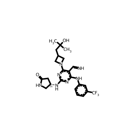 CC(C)(O)CC1CN(c2nc(N[C@@H]3CNC(=O)C3)nc(Nc3cccc(C(F)(F)F)c3)c2C=N)C1